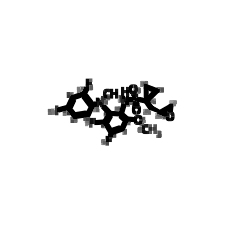 COc1cc(F)c(F)c(N(C)c2ccc(I)cc2F)c1NS(=O)(=O)C1(C[C@H]2CO2)CC1